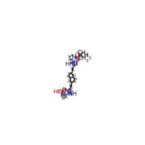 CC(C)(C)OC(=O)N1CCC[C@H]1c1ncc(C#Cc2ccc3cc(C#Cc4c[nH]c([C@@H]5CCCN5C(=O)O)n4)ccc3c2)[nH]1